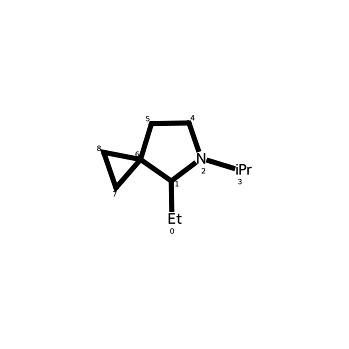 CCC1N(C(C)C)CCC12CC2